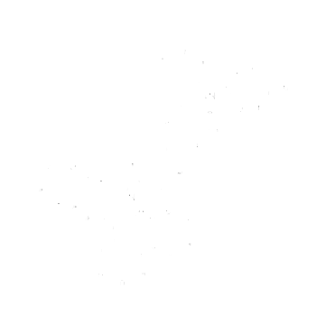 c1ccc2cc(-n3c4ccccc4c4cc(-c5ccc(-n6c7cc8ccccc8cc7c7c8ccccc8c8ccccc8c76)cc5)ccc43)ccc2c1